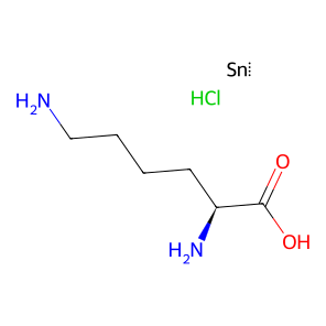 Cl.NCCCC[C@H](N)C(=O)O.[Sn]